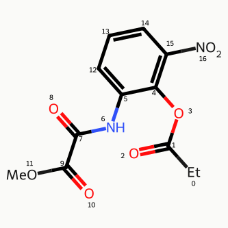 CCC(=O)Oc1c(NC(=O)C(=O)OC)cccc1[N+](=O)[O-]